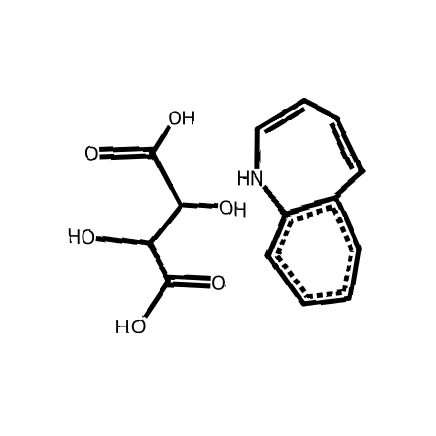 C1=CNc2ccccc2C=C1.O=C(O)C(O)C(O)C(=O)O